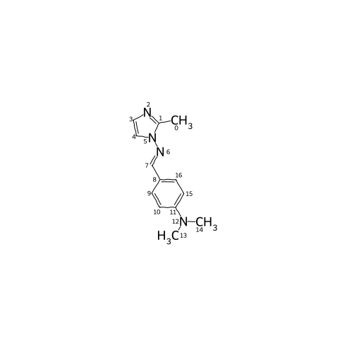 Cc1nccn1/N=C/c1ccc(N(C)C)cc1